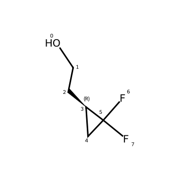 OCC[C@@H]1CC1(F)F